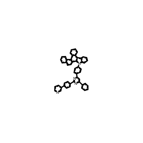 c1ccc(-c2cc(-c3ccc(-n4c5ccccc5c5c6ccccc6c6c7ccccc7ccc6c54)cc3)nc(-c3ccc(-c4cccnc4)cc3)n2)cc1